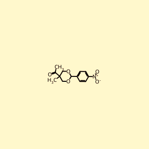 CC(=O)C1(C)COC(c2ccc([N+](=O)[O-])cc2)OC1